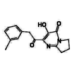 Cc1cccc(CC(=O)c2nc3n(c(=O)c2O)CCC3)c1